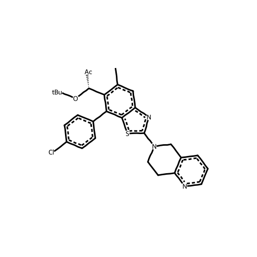 CC(=O)[C@@H](OC(C)(C)C)c1c(C)cc2nc(N3CCc4ncccc4C3)sc2c1-c1ccc(Cl)cc1